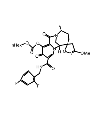 CCCCCCOC(=O)Oc1c2n(cc(C(=O)NCc3ccc(F)cc3F)c1=O)[C@@H]1CN(C2=O)[C@@H](C)CC[C@]12CC(OC)=NO2